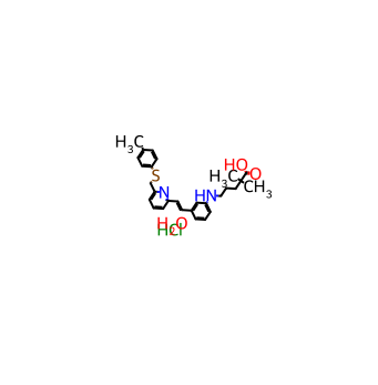 Cc1ccc(SCc2cccc(C=Cc3cccc(NCCCC(C)(C)C(=O)O)c3)n2)cc1.Cl.O